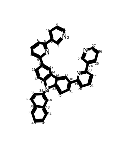 c1cncc(-c2cccc(-c3ccc4c(c3)c3cc(-c5cccc(-c6cccnc6)n5)ccc3n4-c3ccc4ccccc4c3)n2)c1